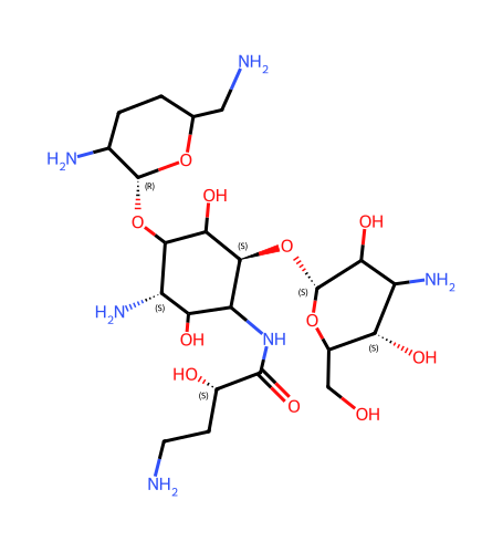 NCC[C@H](O)C(=O)NC1C(O)[C@H](N)C(O[C@H]2OC(CN)CCC2N)C(O)[C@H]1O[C@H]1OC(CO)[C@@H](O)C(N)C1O